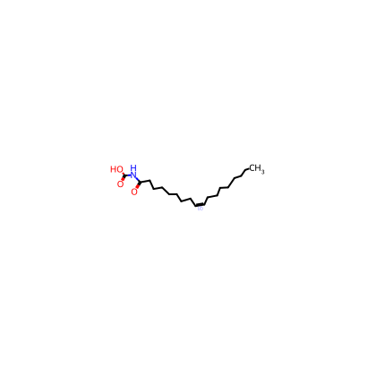 CCCCCCCC/C=C\CCCCCCCC(=O)NC(=O)O